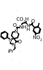 Cc1ccc([N+](=O)[O-])cc1C(=O)NC(CNC(=O)N1CCC2(CC1)C(=O)N(CC(C)C)CN2c1ccccc1)C(=O)O